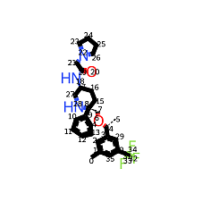 Cc1cc([C@@H](C)OC[C@@]2(c3ccccc3)CC[C@H](NC(=O)CN3CCCC3)CN2)cc(C(F)(F)F)c1